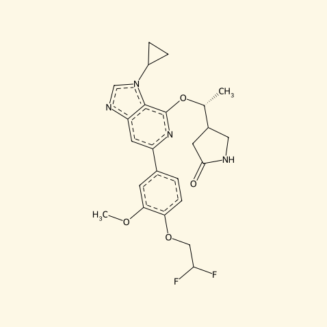 COc1cc(-c2cc3ncn(C4CC4)c3c(O[C@H](C)C3CNC(=O)C3)n2)ccc1OCC(F)F